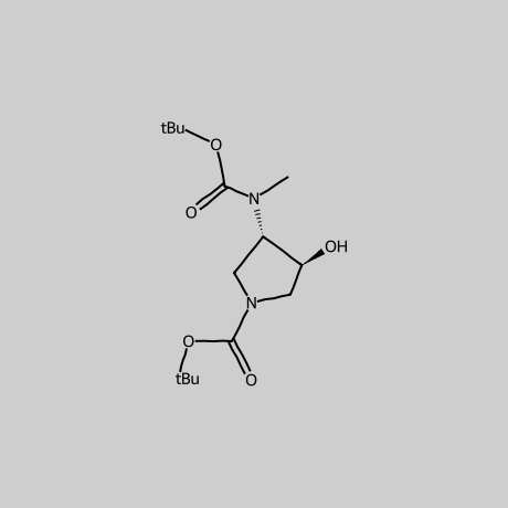 CN(C(=O)OC(C)(C)C)[C@H]1CN(C(=O)OC(C)(C)C)C[C@@H]1O